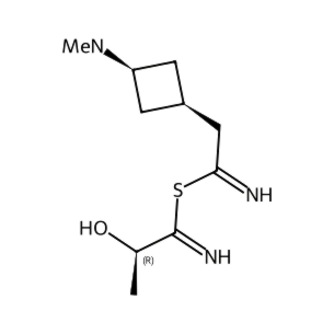 CN[C@H]1C[C@@H](CC(=N)SC(=N)[C@@H](C)O)C1